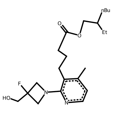 CCCCC(CC)COC(=O)CCCc1c(C)ccnc1N1CC(F)(CO)C1